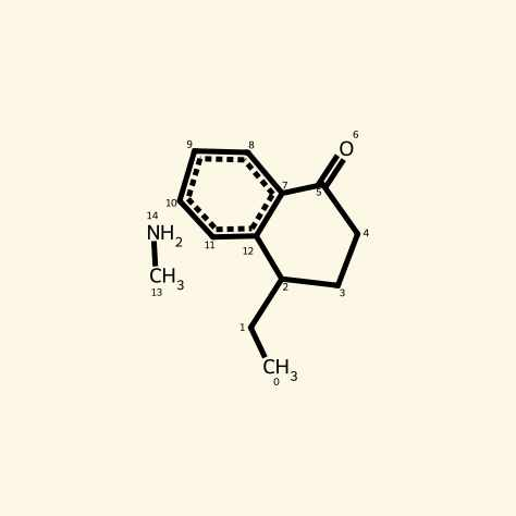 CCC1CCC(=O)c2ccccc21.CN